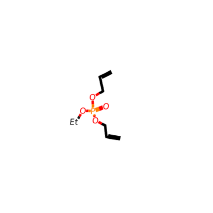 [CH2]COP(=O)(OCC=C)OCC=C